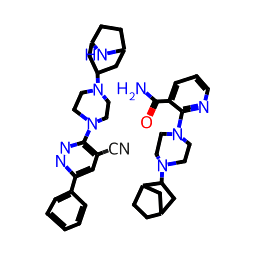 N#Cc1cc(-c2ccccc2)nnc1N1CCN(C2CC3CCC(C2)N3)CC1.NC(=O)c1cccnc1N1CCN(C2CC3CCC2C3)CC1